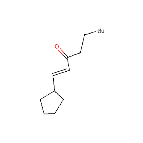 CC(C)(C)CCC(=O)/C=C/C1CCCC1